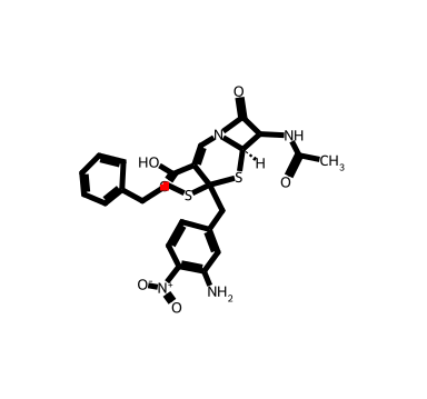 CC(=O)NC1C(=O)N2C=C(C(=O)O)C(Cc3ccc([N+](=O)[O-])c(N)c3)(SCCc3ccccc3)S[C@H]12